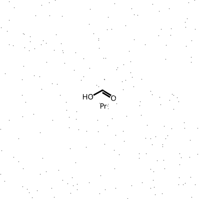 O=CO.[Pr]